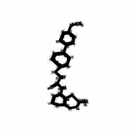 CSc1ccc(-c2ccc(CNC(=O)Nc3cccc4c3CC(O)CC4)cc2)cc1